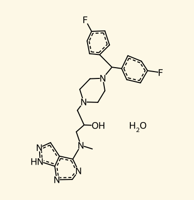 CN(CC(O)CN1CCN(C(c2ccc(F)cc2)c2ccc(F)cc2)CC1)c1ncnc2[nH]ncc12.O